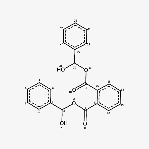 O=C(OC(O)c1ccccc1)c1ccccc1C(=O)OC(O)c1ccccc1